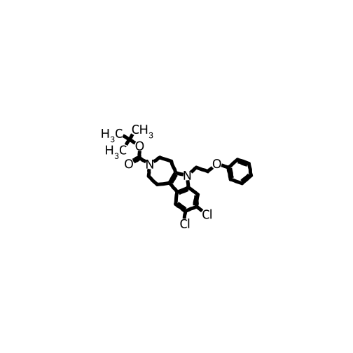 CC(C)(C)OC(=O)N1CCc2c(n(CCOc3ccccc3)c3cc(Cl)c(Cl)cc23)CC1